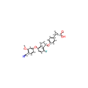 COc1cc(Oc2ccc(F)c3c2CCC3Oc2ccc(C3C[C@@H]3C(=O)O)cc2)ccc1C#N